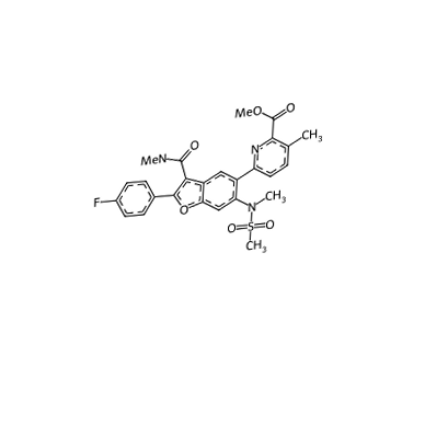 CNC(=O)c1c(-c2ccc(F)cc2)oc2cc(N(C)S(C)(=O)=O)c(-c3ccc(C)c(C(=O)OC)n3)cc12